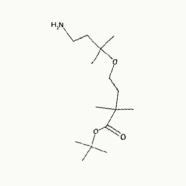 CC(C)(C)OC(=O)C(C)(C)CCOC(C)(C)CCN